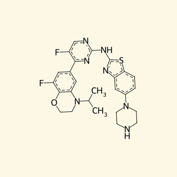 CC(C)N1CCOc2c(F)cc(-c3nc(Nc4nc5cc(N6CCNCC6)ccc5s4)ncc3F)cc21